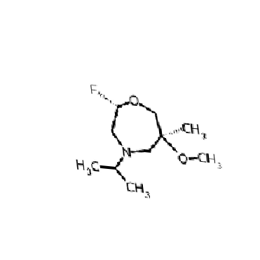 CO[C@]1(C)CO[C@@H](F)CN(C(C)C)C1